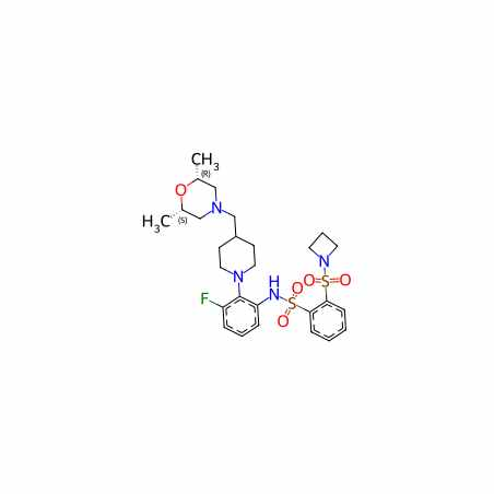 C[C@@H]1CN(CC2CCN(c3c(F)cccc3NS(=O)(=O)c3ccccc3S(=O)(=O)N3CCC3)CC2)C[C@H](C)O1